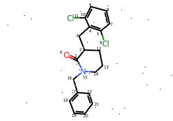 O=C1C(Cc2c(Cl)cccc2Cl)CCCN1Cc1ccccc1